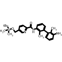 Cc1c(N)cccc1-c1cccc(NC(=O)c2ccc(CO[Si](C)(C)C(C)(C)C)cn2)c1C